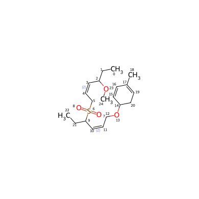 CCC(/C=C\CS(=O)(=O)C(/C=C\COC1C=CC(C)=CC1)CC)OC